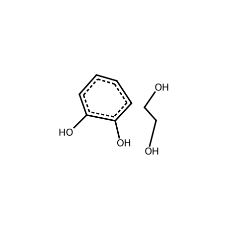 OCCO.Oc1ccccc1O